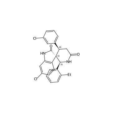 CCc1ccccc1[C@@H]1NC(=O)C[C@H](c2cccc(Cl)c2)[C@@]12C(=O)Nc1cc(Cl)ccc12